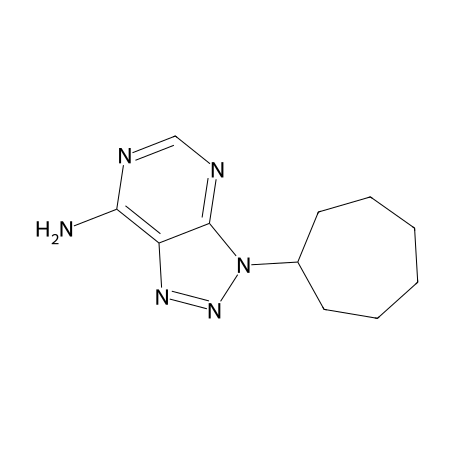 Nc1ncnc2c1nnn2C1CCCCCC1